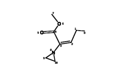 CCC=C(C(=O)OC)N1CC1